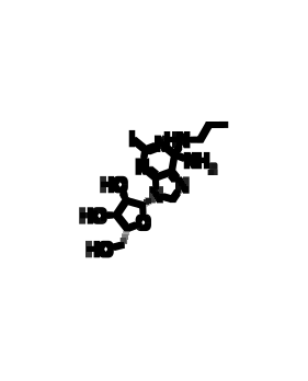 CCCNC1(N)N=C(I)N=C2C1=NCN2[C@@H]1O[C@H](CO)[C@@H](O)[C@H]1O